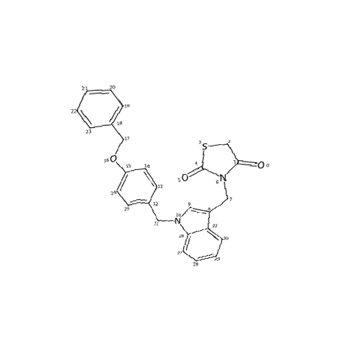 O=C1CSC(=O)N1Cc1cn(Cc2ccc(OCc3ccccc3)cc2)c2ccccc12